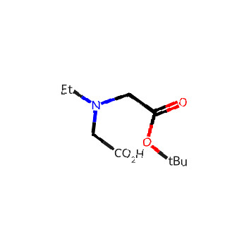 CCN(CC(=O)O)CC(=O)OC(C)(C)C